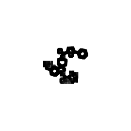 NCc1ccc2c(c1)C1(CCN(C(=O)c3ccc(-c4ccccc4)o3)CC1)CN2C(=O)c1nnn[nH]1